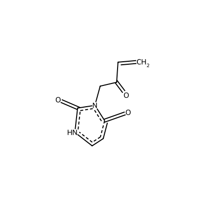 C=CC(=O)Cn1c(=O)cc[nH]c1=O